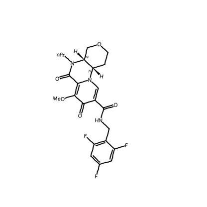 CCCN1C(=O)c2c(OC)c(=O)c(C(=O)NCc3c(F)cc(F)cc3F)cn2[C@H]2CCOC[C@H]21